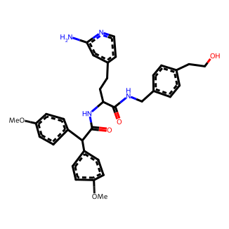 COc1ccc(C(C(=O)NC(CCc2ccnc(N)c2)C(=O)NCc2ccc(CCO)cc2)c2ccc(OC)cc2)cc1